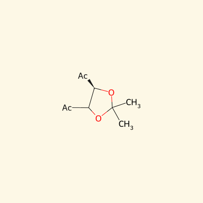 CC(=O)C1OC(C)(C)O[C@@H]1C(C)=O